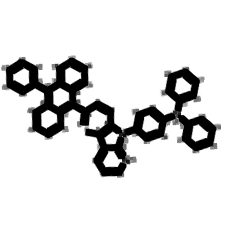 C=C(/C=C\c1c(C)c2cccnc2n1-c1ccc(N(c2ccccc2)c2ccccc2)cc1)c1c2ccccc2c(-c2ccccc2)c2ccccc12